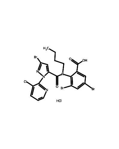 CCCCN(C(=O)c1cc(Br)nn1-c1ncccc1Cl)c1c(Br)cc(Br)cc1C(=O)O.Cl